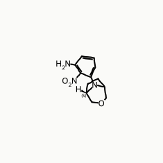 Nc1cccc(N2C3CC[C@H]2COC3)c1[N+](=O)[O-]